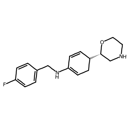 Fc1ccc(CNC2=CCC([C@H]3CNCCO3)C=C2)cc1